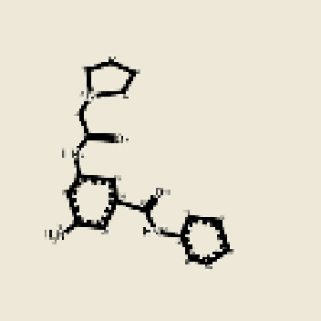 Nc1cc(NC(=O)CN2CCCC2)cc(C(=O)Nc2ccccc2)c1